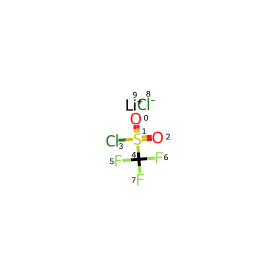 O=S(=O)(Cl)C(F)(F)F.[Cl-].[Li+]